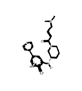 CCN(c1cc(-c2ccncc2)c[nH]c1=O)[C@H]1CCCN(C(=O)C=CCN(C)C)C1